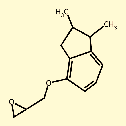 CC1Cc2c(OCC3CO3)cccc2C1C